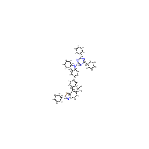 CC1(C)c2cc(-c3ccc4c(c3)c3ccccc3n4-c3nc(-c4ccccc4)nc(-c4ccccc4)n3)ccc2-c2c1ccc1nc(-c3ccccc3)sc21